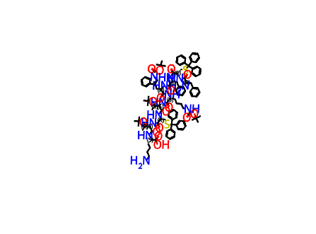 C[C@@H](OC(C)(C)C)[C@H](NC(=O)[C@H](CSC(c1ccccc1)(c1ccccc1)c1ccccc1)NC(=O)[C@@H](NC(=O)[C@H](CCCCNC(=O)OC(C)(C)C)NC(=O)[C@@H](Cc1cn(C(=O)OC(C)(C)C)c2ccccc12)NC(=O)[C@H](Cc1ccccc1)NC(=O)[C@H](CSC(c1ccccc1)(c1ccccc1)c1ccccc1)NC(=O)[C@H](N)Cc1ccccc1)[C@@H](C)OC(C)(C)C)C(=O)N[C@@H](CCCCN)C(=O)O